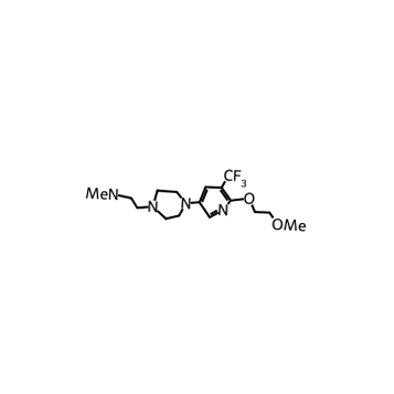 CNCCN1CCN(c2cnc(OCCOC)c(C(F)(F)F)c2)CC1